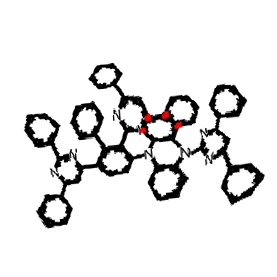 c1ccc(-c2cc(-c3ccc(N4c5ccccc5N(c5nc(-c6ccccc6)cc(-c6ccccc6)n5)c5ccccc54)c(-c4nc(-c5ccccc5)cc(-c5ccccc5)n4)c3-c3ccccc3)nc(-c3ccccc3)n2)cc1